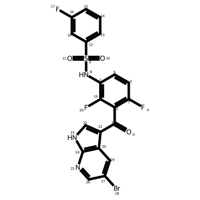 O=C(c1c(F)ccc(NS(=O)(=O)c2cccc(F)c2)c1F)c1c[nH]c2ncc(Br)cc12